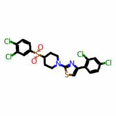 O=S(=O)(c1ccc(Cl)c(Cl)c1)C1CCN(c2nc(-c3ccc(Cl)cc3Cl)cs2)CC1